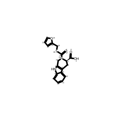 O=C(O)[C@H]1Cc2c([nH]c3ccccc23)CN1C(=S)SCc1ccco1